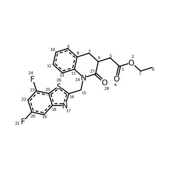 CCOC(=O)CC1Cc2ccccc2N(Cc2nc3cc(F)cc(F)c3s2)C1=O